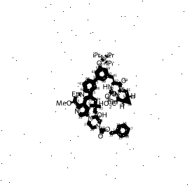 CCn1c(-c2cc(N3CCN(C(=O)OCc4ccccc4)CC3)cnc2[C@H](C)OC)c(CC(C)(C)CO)c2cc(-c3cc(C[C@H](NC(=O)OC(C)(C)C)C(=O)N4C[C@@H]5C[C@@H]5[C@@H](C(=O)O)N4)cc(O[Si](C(C)C)(C(C)C)C(C)C)c3)ccc21